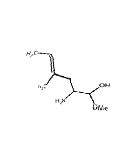 C/C=C(\C)CC(N)C(O)OC